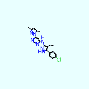 CCc1c(Nc2cc(-n3nc(C)cc3C)ncn2)n[nH]c1-c1ccc(Cl)cc1